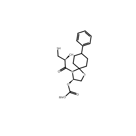 COC(=O)O[C@@H]1CSC2(CCC(c3ccccc3)CC2)N1C(=O)[C@H](C)CS